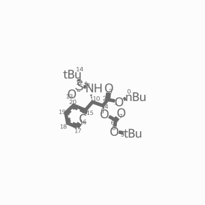 CCCCOC(=O)[C@H](OC(=O)OC(C)(C)C)[C@@H](N[S+]([O-])C(C)(C)C)c1ccccc1